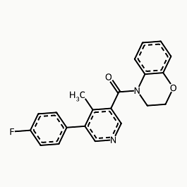 Cc1c(C(=O)N2CCOc3ccccc32)cncc1-c1ccc(F)cc1